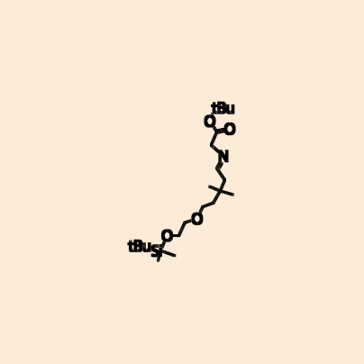 CC(C)(C/C=N/CC(=O)OC(C)(C)C)CCOCCO[Si](C)(C)C(C)(C)C